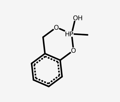 C[PH]1(O)OCc2ccccc2O1